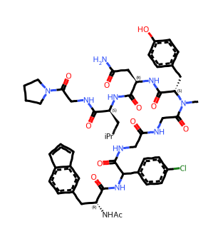 CC(=O)N[C@H](Cc1ccc2c(c1)C=C=C2)C(=O)NC(C(=O)NCC(=O)NCC(=O)N(C)[C@@H](Cc1ccc(O)cc1)C(=O)N[C@H](CC(N)=O)C(=O)N[C@@H](CC(C)C)C(=O)NCC(=O)N1CCCC1)c1ccc(Cl)cc1